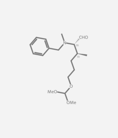 COC(OC)OCCC[C@H](C)[C@@H](C=O)N(C)Cc1ccccc1